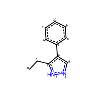 CCc1[nH]n[c]c1-c1ccccc1